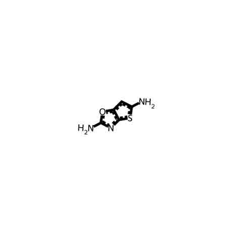 Nc1nc2sc(N)cc2o1